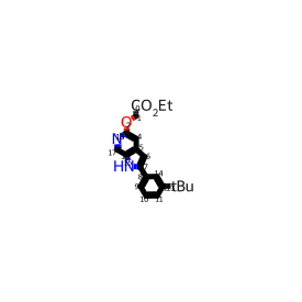 CCOC(=O)COc1cc2cc(-c3cccc(C(C)(C)C)c3)[nH]c2cn1